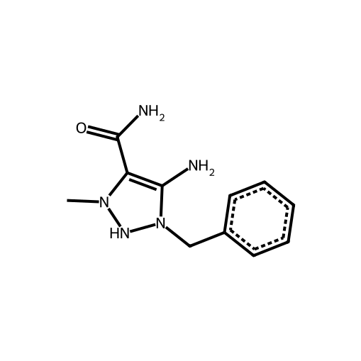 CN1NN(Cc2ccccc2)C(N)=C1C(N)=O